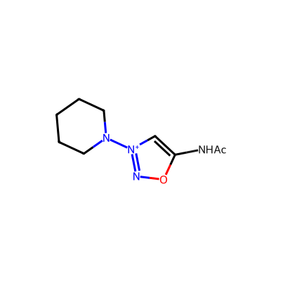 CC(=O)[N-]c1c[n+](N2CCCCC2)no1